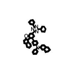 C1=CC(c2nc(-c3ccccc3)nc(-c3cc(-c4ccc(N(c5ccccc5)c5ccc6ccccc6c5)cc4)c4c(c3)oc3ccc5ccccc5c34)n2)=CCC1